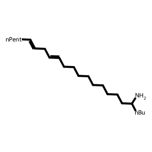 CCCCCC=CCC=CCCCCCCCCCC(N)CCCC